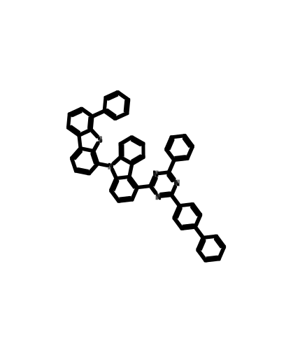 c1ccc(-c2ccc(-c3nc(-c4ccccc4)nc(-c4cccc5c4c4ccccc4n5-c4cccc5c4sc4c(-c6ccccc6)cccc45)n3)cc2)cc1